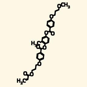 C=CC(=O)OCCCOc1ccc(C(=O)Oc2ccc(OC(=O)c3ccc(OCCCOC)cc3)cc2C)cc1